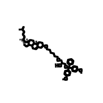 COc1ccc(C(OCC(O)COCCCCCCOC2CC[C@@]3(C)C(=CCC4C3CC[C@@]3(C)C4CC[C@@H]3[C@H](C)CCCC(C)C)C2)(c2ccccc2)c2ccc(OC)cc2)cc1